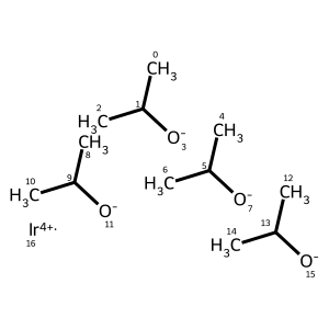 CC(C)[O-].CC(C)[O-].CC(C)[O-].CC(C)[O-].[Ir+4]